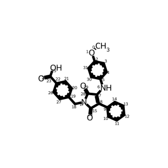 COc1ccc(NC2=C(c3ccccc3)C(=O)N(Cc3ccc(C(=O)O)cc3)C2=O)cc1